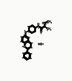 CN[C@@H](C)C(=O)N[C@H]1CC[C@H](Oc2ccc3c(c2)CCC(c2ccccc2)O3)CC1.Cl